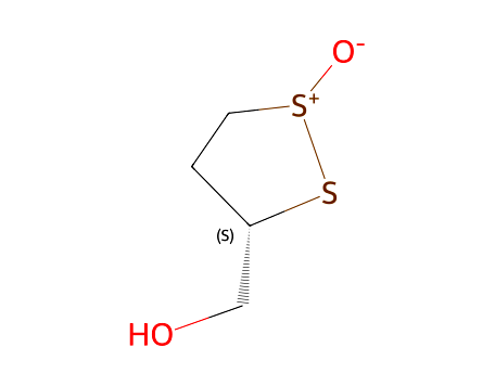 [O-][S+]1CC[C@@H](CO)S1